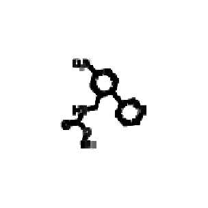 CC(C)(C)OC(=O)NCc1cc([N+](=O)[O-])ccc1-c1cccnc1